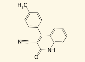 Cc1ccc(-c2c(C#N)c(=O)[nH]c3ccccc23)cc1